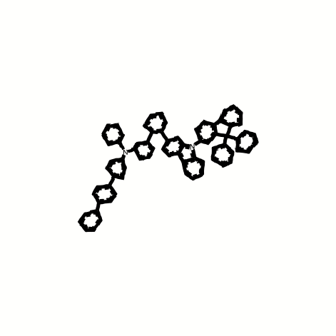 c1ccc(-c2ccc(-c3ccc(N(c4ccccc4)c4cccc(-c5ccccc5-c5ccc6c7ccccc7n(-c7ccc8c(c7)C(c7ccccc7)(c7ccccc7)c7ccccc7-8)c6c5)c4)cc3)cc2)cc1